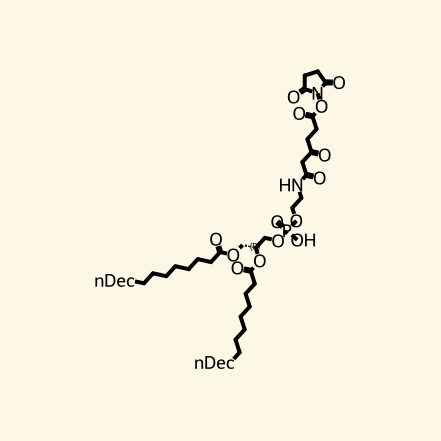 CCCCCCCCCCCCCCCCCC(=O)OC[C@H](COP(=O)(O)OCCNC(=O)CC(=O)CCC(=O)ON1C(=O)CCC1=O)OC(=O)CCCCCCCCCCCCCCCCC